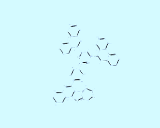 c1ccc2c(c1)cc(-c1cc(-c3cc4ccccc4c4ccccc34)nc(-c3ccc(-c4nc5ccccc5c5nc6ccccn6c45)cc3)n1)c1ccccc12